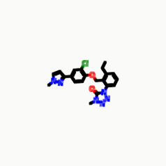 CCc1cccc(-n2nnn(C)c2=O)c1COc1ccc(-c2ccn(C)n2)cc1Cl